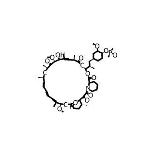 CO[C@H]1C[C@@H]2CC[C@@H](C)C(O2)C(=O)C(=O)N2CCCCC2C(=O)O[C@H]([C@H](C)C[C@@H]2CC[C@@H](OP(C)(C)=O)[C@H](OC)C2)CC(=O)[C@H](C)/C=C(\C)C(O)[C@@H](OC)C(=O)[C@H](C)C[C@H](C)/C=C/C=C/C=C/1C